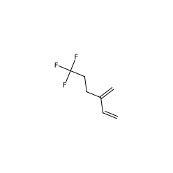 C=CC(=C)CCC(F)(F)F